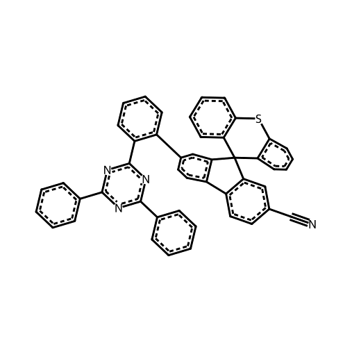 N#Cc1ccc2c(c1)C1(c3ccccc3Sc3ccccc31)c1cc(-c3ccccc3-c3nc(-c4ccccc4)nc(-c4ccccc4)n3)ccc1-2